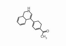 CC(=O)C1=CC=C(C2=CNCC3C=CC=CC23)CC1